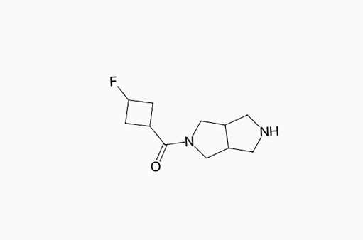 O=C(C1CC(F)C1)N1CC2CNCC2C1